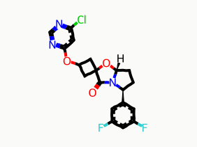 O=C1N2[C@@H](CC[C@H]2c2cc(F)cc(F)c2)OC12CC(Oc1cc(Cl)ncn1)C2